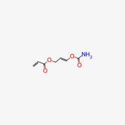 C=CC(=O)OCC=COC(N)=O